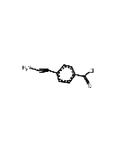 NC#Cc1ccc(C(=O)Cl)cc1